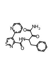 NC(=O)C(=O)C(Cc1ccccc1)NC(=O)c1nscc1-c1ccccn1